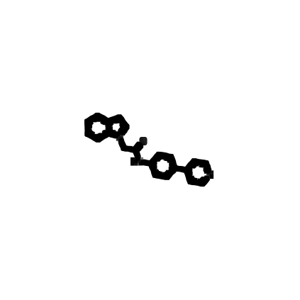 O=C(Cn1ccc2ccccc21)Nc1ccc(-c2ccncc2)cc1